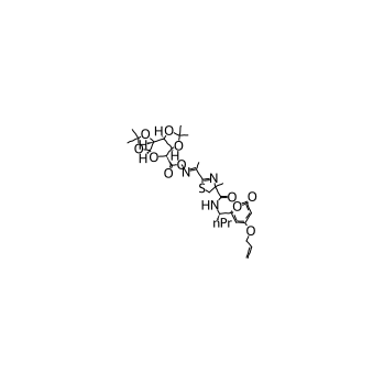 C=CCOc1cc([C@@H](CCC)NC(=O)C2(C)CSC(/C(C)=N/OC(=O)[C@H]3O[C@@H]4OC(C)(C)O[C@@H]4[C@H]4OC(C)(C)O[C@H]43)=N2)oc(=O)c1